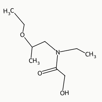 CCOC(C)CN(CC)C(=O)CO